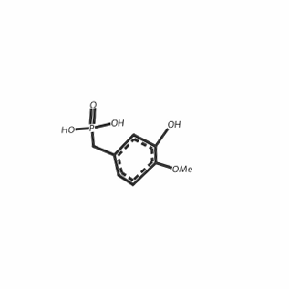 COc1ccc(CP(=O)(O)O)cc1O